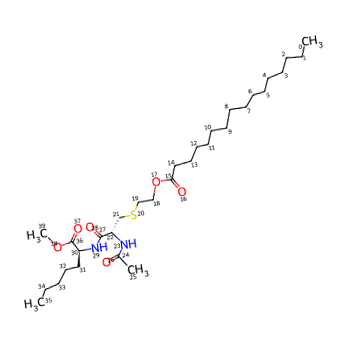 CCCCCCCCCCCCCCCC(=O)OCCSC[C@H](NC(C)=O)C(=O)N[C@@H](CCCCC)C(=O)OC